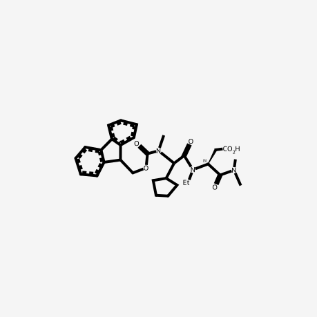 CCN(C(=O)C(C1CCCC1)N(C)C(=O)OCC1c2ccccc2-c2ccccc21)[C@@H](CC(=O)O)C(=O)N(C)C